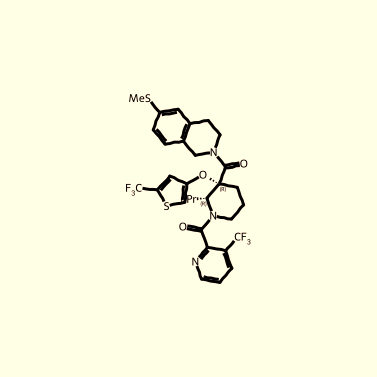 CCC[C@H]1N(C(=O)c2ncccc2C(F)(F)F)CCC[C@]1(Oc1csc(C(F)(F)F)c1)C(=O)N1CCc2cc(SC)ccc2C1